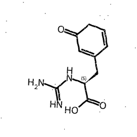 N=C(N)N[C@@H](CC1=CC(=O)CC=C1)C(=O)O